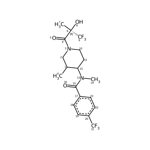 CC1CN(C(=O)[C@@](C)(O)C(F)(F)F)CCC1N(C)C(=O)c1ccc(C(F)(F)F)cc1